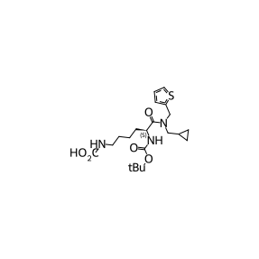 CC(C)(C)OC(=O)N[C@@H](CCCCNC(=O)O)C(=O)N(Cc1cccs1)CC1CC1